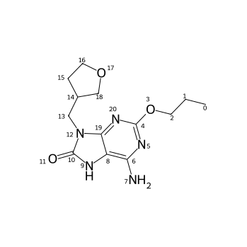 CCCOc1nc(N)c2[nH]c(=O)n(CC3CCOC3)c2n1